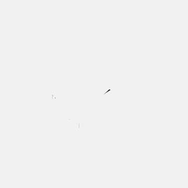 O=C(O)[C@H](CCC1CCCCC1)CC(=O)N1CCOCC1